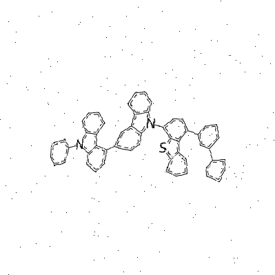 c1ccc(-c2cccc(-c3ccc(-n4c5ccccc5c5cc(-c6cccc7c6c6ccccc6n7-c6ccccc6)ccc54)c4sc5ccccc5c34)c2)cc1